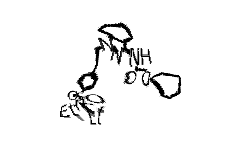 CCN(CC)S(=O)(=O)c1ccc(Cn2nc(NC(=O)COc3ccccc3)c3ccccc32)cc1